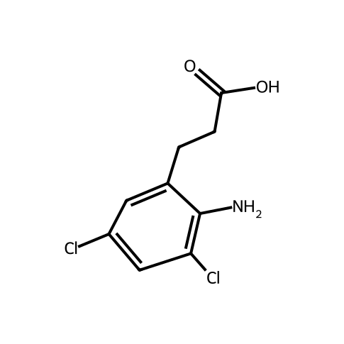 Nc1c(Cl)cc(Cl)cc1CCC(=O)O